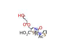 CC(=O)N(c1cccs1)C1C(=O)N2C=C(COC(=O)CCCO)C(C(=O)O)S[C@H]12